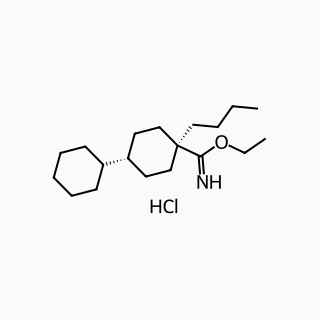 CCCC[C@]1(C(=N)OCC)CC[C@H](C2CCCCC2)CC1.Cl